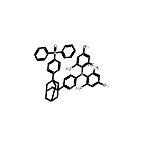 Cc1cc(C)c(B(c2ccc(C34CC5CC(C3)CC(c3ccc(P(=O)(c6ccccc6)c6ccccc6)cc3)(C5)C4)cc2)c2c(C)cc(C)cc2C)c(C)c1